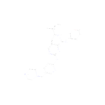 CO[C@H](C)c1cc2cnc(Nc3ccc(CN4CCNCC4)cn3)nc2c(N[C@H]2CCCOC2)n1